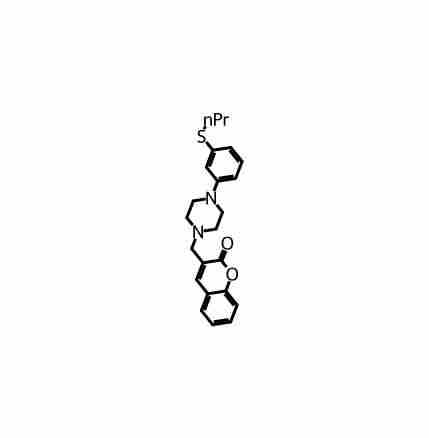 CCCSc1cccc(N2CCN(Cc3cc4ccccc4oc3=O)CC2)c1